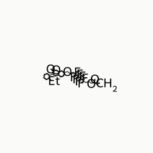 C=CC(=O)OCCC(F)(F)C(F)(F)C(F)(F)C(F)(F)CCOc1ccc2cc(-c3ccccc3CC)c(=O)oc2c1